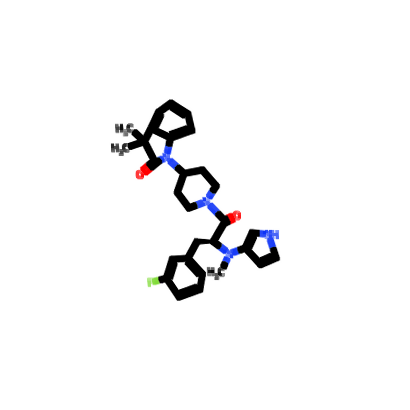 CN(c1cc[nH]c1)[C@@H](Cc1cccc(F)c1)C(=O)N1CCC(N2C(=O)C(C)(C)c3ccccc32)CC1